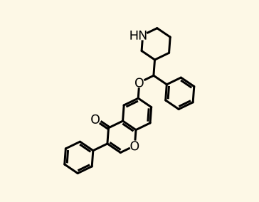 O=c1c(-c2ccccc2)coc2ccc(OC(c3ccccc3)C3CCCNC3)cc12